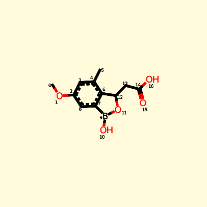 COc1cc(C)c2c(c1)B(O)OC2CC(=O)O